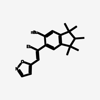 CCCCc1cc2c(cc1/C(=C/c1ccno1)CC)C(C)(C)C(C)C2(C)C